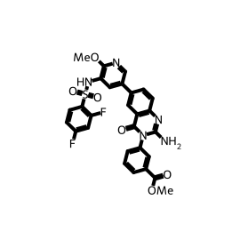 COC(=O)c1cccc(-n2c(N)nc3ccc(-c4cnc(OC)c(NS(=O)(=O)c5ccc(F)cc5F)c4)cc3c2=O)c1